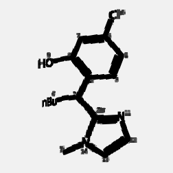 CCCCC(c1ccc(Cl)cc1O)c1nccn1C